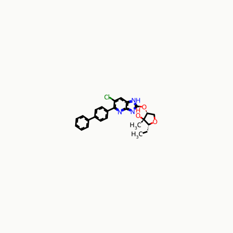 CC[C@H]1OC[C@@H](Oc2nc3nc(-c4ccc(-c5ccccc5)cc4)c(Cl)cc3[nH]2)[C@@]1(C)O